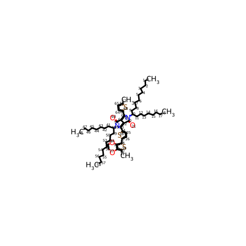 CCCCCCCCCCC(CCCCCCCC)N1C(=O)C2=C(c3ccc(-c4sc(C)c5c4OCCO5)s3)N(C(CCCCCCCC)CCCCCCCCCC)C(=O)C2=C1c1ccc(C)s1